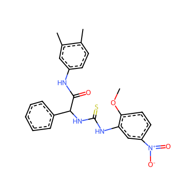 COc1ccc([N+](=O)[O-])cc1NC(=S)NC(C(=O)Nc1ccc(C)c(C)c1)c1ccccc1